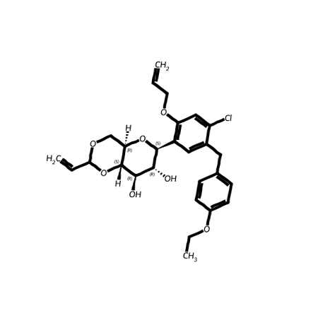 C=CCOc1cc(Cl)c(Cc2ccc(OCC)cc2)cc1[C@@H]1O[C@@H]2COC(C=C)O[C@H]2[C@H](O)[C@H]1O